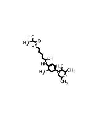 CC1CN(C2=CC=C(NC(O)CCCCN[S+]([O-])C(C)C)C(C)C2)C(C)C(C)O1